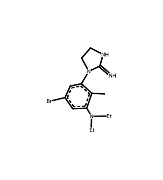 CCN(CC)c1cc(Br)cc(N2CCNC2=N)c1C